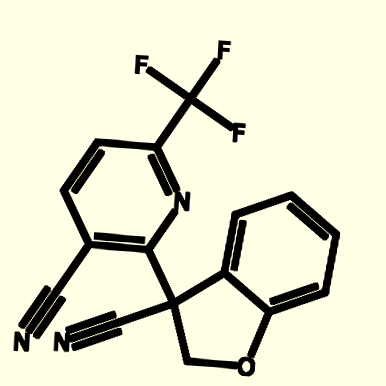 N#Cc1ccc(C(F)(F)F)nc1C1(C#N)COc2ccccc21